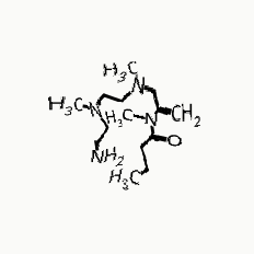 C=C(CN(C)CCN(C)CCN)N(C)C(=O)CCC